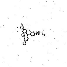 C=COc1ccc2c(-c3ccc(N)cc3C)c3ccc(=O)cc-3oc2c1